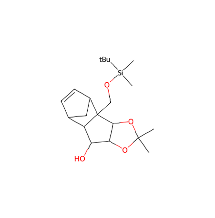 CC1(C)OC2C(O)C3C4C=CC(C4)C3(CO[Si](C)(C)C(C)(C)C)C2O1